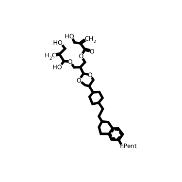 C=C(CO)C(=O)OCC(COC(O)C(=C)CO)C1OCC(C2CCC(CCC3CCc4cc(CCCCC)ccc4C3)CC2)CO1